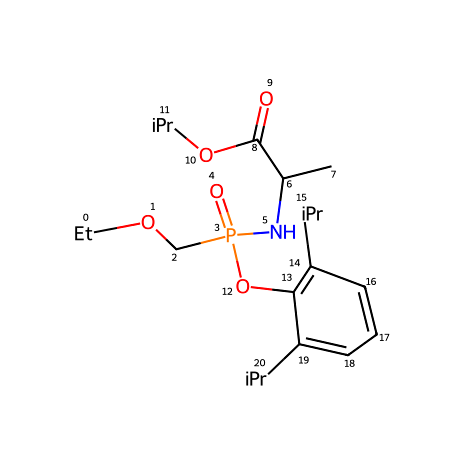 CCOCP(=O)(NC(C)C(=O)OC(C)C)Oc1c(C(C)C)cccc1C(C)C